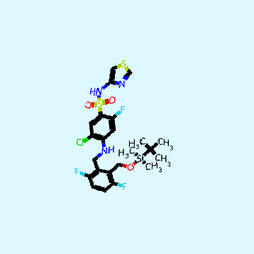 CC(C)(C)[Si](C)(C)OCc1c(F)ccc(F)c1CNc1cc(F)c(S(=O)(=O)Nc2cscn2)cc1Cl